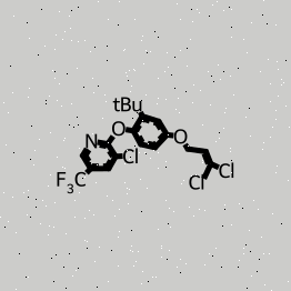 CC(C)(C)c1cc(OCC=C(Cl)Cl)ccc1Oc1ncc(C(F)(F)F)cc1Cl